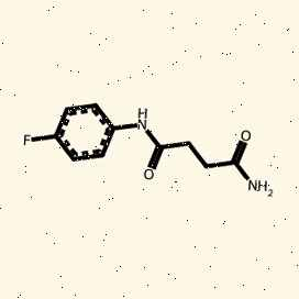 NC(=O)CCC(=O)Nc1ccc(F)cc1